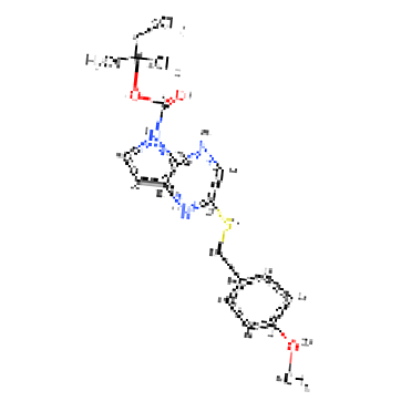 CCC(C)(C)OC(=O)n1ccc2nc(SCc3ccc(OC)cc3)cnc21